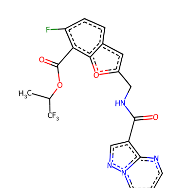 CC(OC(=O)c1c(F)ccc2cc(CNC(=O)c3cnn4cccnc34)oc12)C(F)(F)F